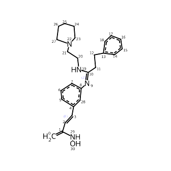 C=C(/C=C/c1cccc(/N=C(/CCc2ccccc2)NCCN2CCCCC2)c1)NO